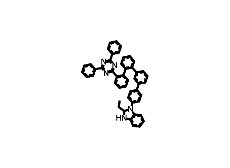 CCC1Nc2ccccc2N1c1ccc(-c2cccc(-c3ccccc3-c3ccccc3-c3nc(-c4ccccc4)nc(-c4ccccc4)n3)c2)cc1